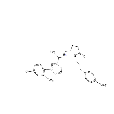 Cc1cc(Cl)ccc1-c1cccc(C(O)/C=C/C2CCC(=O)N2CCCc2ccc(C(=O)O)cc2)c1